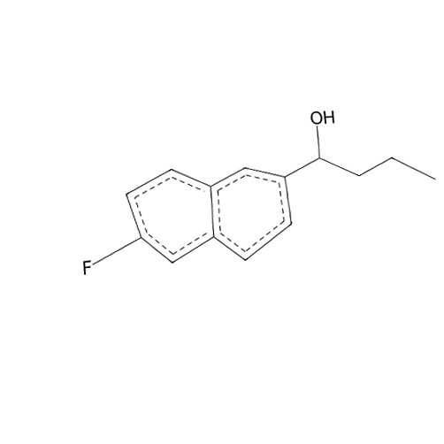 CCCC(O)c1ccc2cc(F)ccc2c1